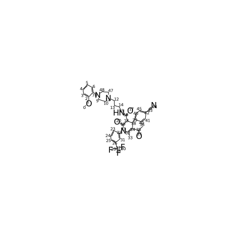 COc1ccccc1N1CCN(CCCNC(=O)C2C(=O)N(c3cccc(C(F)(F)F)c3)C(C)=C(C(C)=O)C2c2ccc(C#N)cc2)CC1